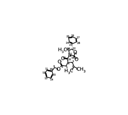 CC(C)C[C@@H](CC(=O)OCc1ccccc1)C(=O)N1C(=O)O[C@@H](c2ccccc2)[C@H]1C